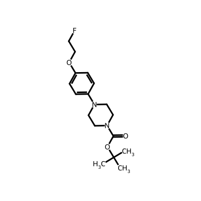 CC(C)(C)OC(=O)N1CCN(c2ccc(OCCF)cc2)CC1